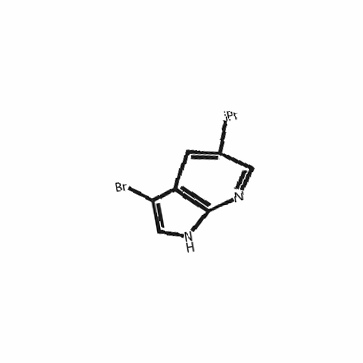 CC(C)c1cnc2[nH]cc(Br)c2c1